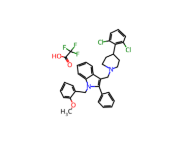 COc1ccccc1Cn1c(-c2ccccc2)c(CN2CCC(c3c(Cl)cccc3Cl)CC2)c2ccccc21.O=C(O)C(F)(F)F